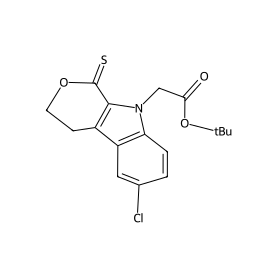 CC(C)(C)OC(=O)Cn1c2c(c3cc(Cl)ccc31)CCOC2=S